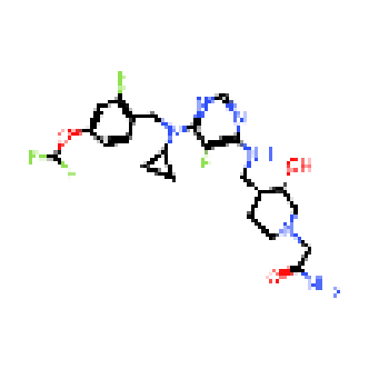 NC(=O)CN1CC[C@@H](CNc2ncnc(N(Cc3ccc(OC(F)F)cc3F)C3CC3)c2F)[C@H](O)C1